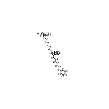 CN(C)CCCCCCCCCCCCCCCCCc1ccccc1.Cl.O